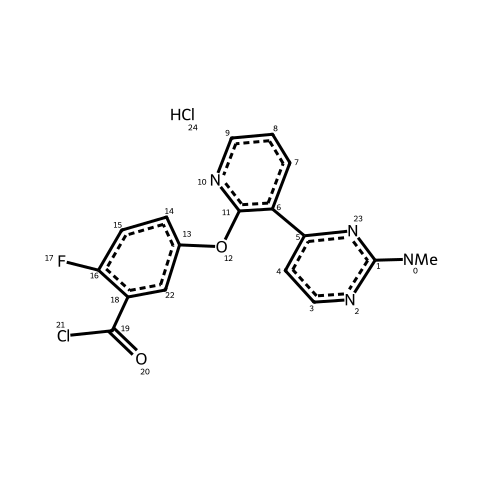 CNc1nccc(-c2cccnc2Oc2ccc(F)c(C(=O)Cl)c2)n1.Cl